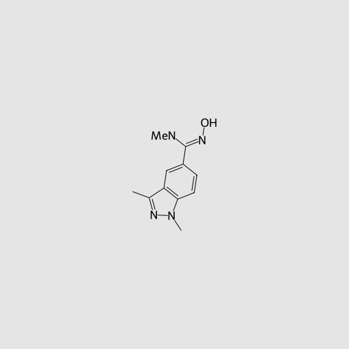 CN/C(=N\O)c1ccc2c(c1)c(C)nn2C